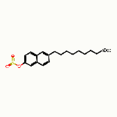 CCCCCCCCCCCCCCCCCCc1ccc2cc(O[SH](=O)=O)ccc2c1